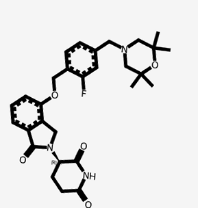 CC1(C)CN(Cc2ccc(COc3cccc4c3CN([C@@H]3CCC(=O)NC3=O)C4=O)c(F)c2)CC(C)(C)O1